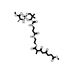 COC(=O)CCC(=O)CC(=O)C(C)C(=O)SCCNC(=O)CCNC(=O)[C@@H]1OP(=O)(N[C@@H](C)C(=O)OC)OCC1(C)C